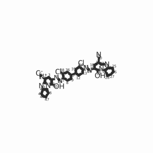 [C-]#[N+]c1cc(N=Nc2ccc(-c3ccc(N=Nc4cc(C#N)c5nc6ccccc6n5c4O)c(Cl)c3)cc2Cl)c(O)n2c1nc1ccccc12